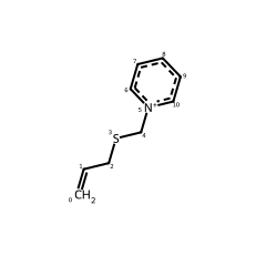 C=CCSC[n+]1ccccc1